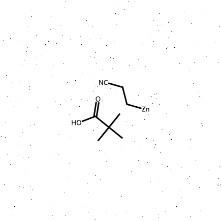 CC(C)(C)C(=O)O.N#CC[CH2][Zn]